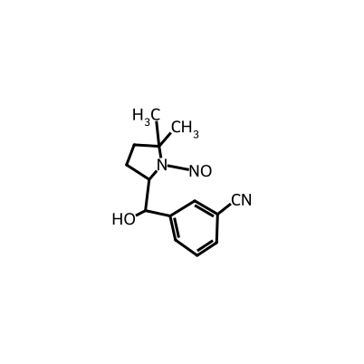 CC1(C)CCC(C(O)c2cccc(C#N)c2)N1N=O